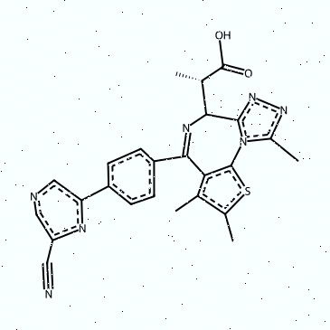 Cc1sc2c(c1C)C(c1ccc(-c3cncc(C#N)n3)cc1)=NC([C@H](C)C(=O)O)c1nnc(C)n1-2